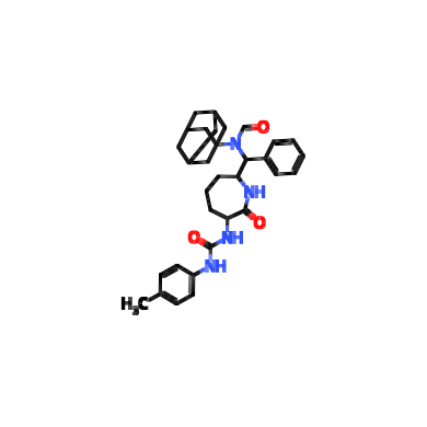 Cc1ccc(NC(=O)NC2CCCC(C(c3ccccc3)N(C=O)C34CC5CC(CC(C5)C3)C4)NC2=O)cc1